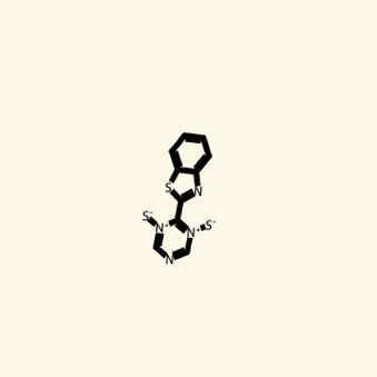 [S-][n+]1cnc[n+]([S-])c1-c1nc2ccccc2s1